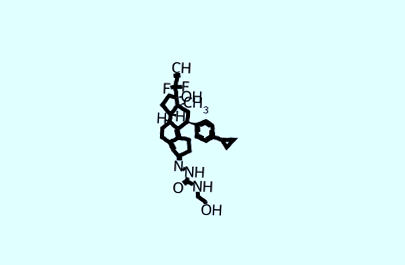 C#CC(F)(F)[C@]1(O)CC[C@H]2[C@@H]3CCC4=C/C(=N/NC(=O)NCCO)CCC4=C3[C@H](c3ccc(C4CC4)cc3)C[C@@]21C